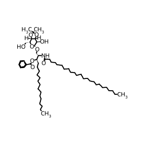 CCCCCCCCCCCCCCCCCCCCCCCC(=O)N[C@@H](CO[C@@H]1O[C@H](CO)[C@@H]2OC(C)(C)O[C@@H]2[C@H]1O)[C@@H](CCCCCCCCCCCCCCC)OC(=O)c1ccccc1